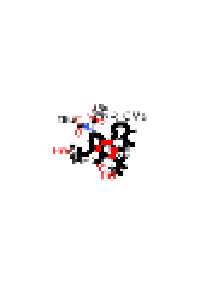 COC(=O)/C(C)=C/C=C\[C@H](OC)[C@@H](CC(C)(C)[Si](C)(C)O)/C(C)=C/[C@H](C)[C@@H](OC)[C@H](C[C@H](C)[C@@H](OC)c1cc(CC(C)(C)[Si](C)(C)O)cc(N(C(=O)OC(C)(C)C)C(=O)OC(C)(C)C)c1)OC